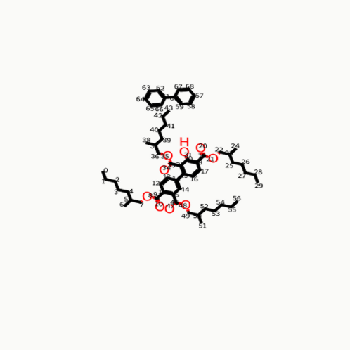 CCCCCC(C)COC(=O)c1ccc(-c2ccc(C(=O)OCC(C)CCCCC)c(O)c2C(=O)OCC(C)CCCCC)cc1C(=O)OCC(C)CCCCC.c1ccc(-c2ccccc2)cc1